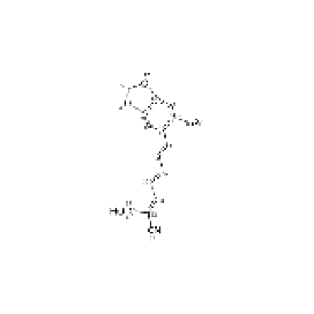 CCCc1cc2c(cc1C=CC=CC=C(C#N)C(=O)O)OCO2